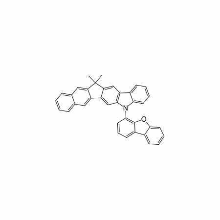 CC1(C)c2cc3ccccc3cc2-c2cc3c(cc21)c1ccccc1n3-c1cccc2c1oc1ccccc12